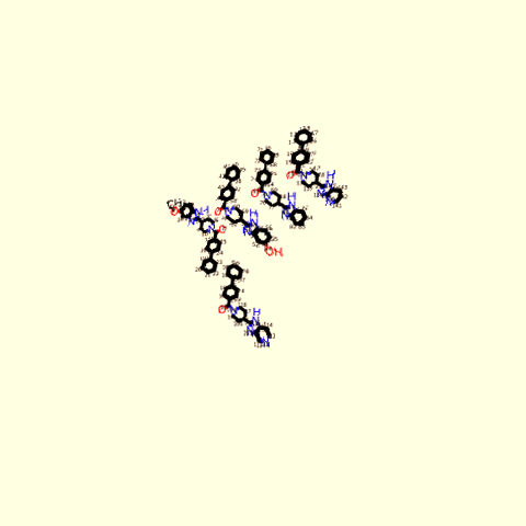 COc1ccc2[nH]c(C3CCN(C(=O)c4ccc(-c5ccccc5)cc4)CC3)nc2c1.O=C(c1ccc(-c2ccccc2)cc1)N1CCC(c2nc3cc(O)ccc3[nH]2)CC1.O=C(c1ccc(-c2ccccc2)cc1)N1CCC(c2nc3ccccc3[nH]2)CC1.O=C(c1ccc(-c2ccccc2)cc1)N1CCC(c2nc3cnccc3[nH]2)CC1.O=C(c1ccc(-c2ccccc2)cc1)N1CCC(c2nc3ncccc3[nH]2)CC1